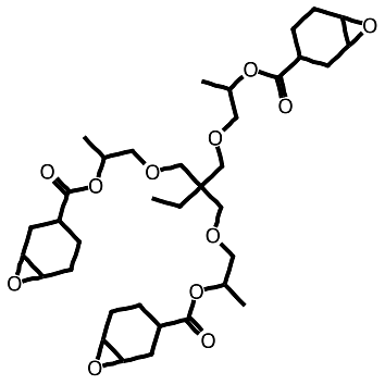 CCC(COCC(C)OC(=O)C1CCC2OC2C1)(COCC(C)OC(=O)C1CCC2OC2C1)COCC(C)OC(=O)C1CCC2OC2C1